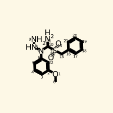 COc1cccc(N(NN)C(N)S(=O)(=O)Cc2ccccc2)c1